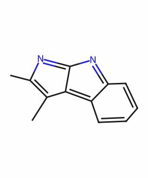 CC1=C(C)C2=c3ccccc3=NC2=N1